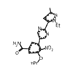 [CH2]CCOc1cc(C(N)=O)cc(-c2cnc(-c3cc(C)nn3CC)nc2)c1[N+](=O)[O-]